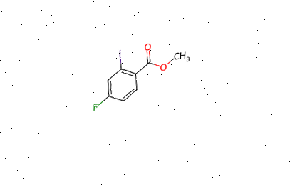 COC(=O)c1ccc(F)cc1I